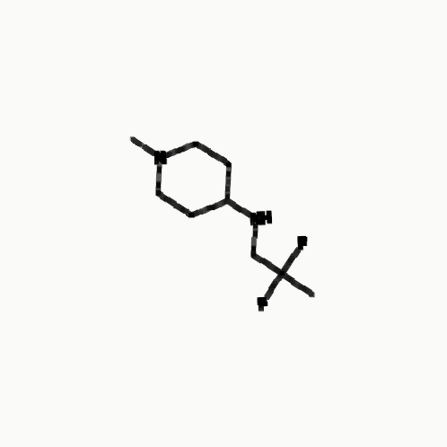 CN1CCC(NCC(C)(F)F)CC1